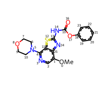 COc1cnc(N2CCOCC2)c2sc(NC(=O)Oc3ccccc3)nc12